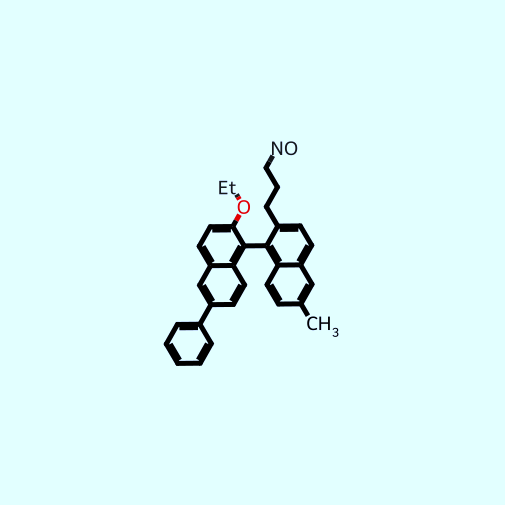 CCOc1ccc2cc(-c3ccccc3)ccc2c1-c1c(CCCN=O)ccc2cc(C)ccc12